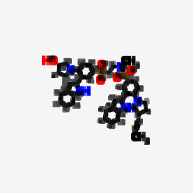 CC#CC1CCN(c2ccc(S(=O)(=O)N(C)CCS(=O)(=O)c3ccc(N4CC[C@H](O)C4)c(-c4cc5ccccc5[nH]4)c3)cc2-c2cc3ccccc3[nH]2)C1